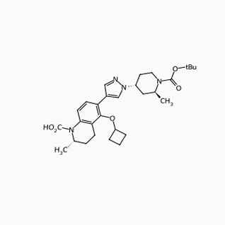 C[C@H]1C[C@H](n2cc(-c3ccc4c(c3OC3CCC3)CC[C@H](C)N4C(=O)O)cn2)CCN1C(=O)OC(C)(C)C